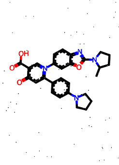 CC1CCCN1c1nc2ccc(-n3cc(C(=O)O)c(=O)cc3-c3ccc(N4CCCC4)cc3)cc2o1